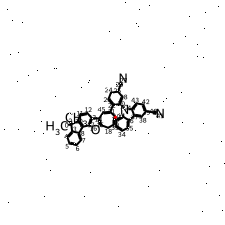 CC1(C)c2ccccc2-c2c1ccc1c3c(oc21)CC=CC(C1=CCC(C#N)C=C1n1c2ccccc2c2cc(C#N)ccc21)=C3